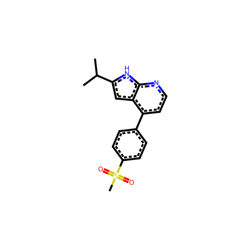 CC(C)c1cc2c(-c3ccc(S(C)(=O)=O)cc3)ccnc2[nH]1